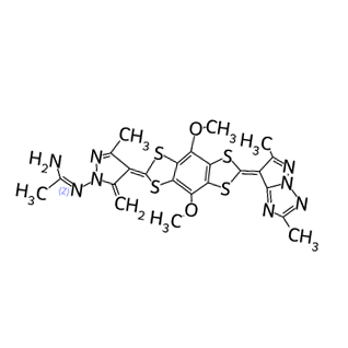 C=c1c(=C2Sc3c(OC)c4c(c(OC)c3S2)SC(=c2c(C)nn3nc(C)nc23)S4)c(C)nn1/N=C(/C)N